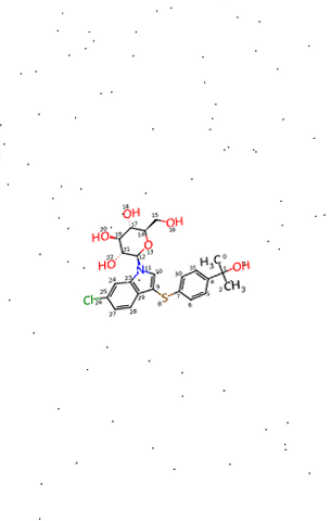 CC(C)(O)c1ccc(Sc2cn([C@@H]3O[C@H](CO)[C@@H](O)[C@H](O)[C@H]3O)c3cc(Cl)ccc23)cc1